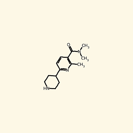 Cc1nc(C2CCNCC2)ccc1C(=O)N(C)C